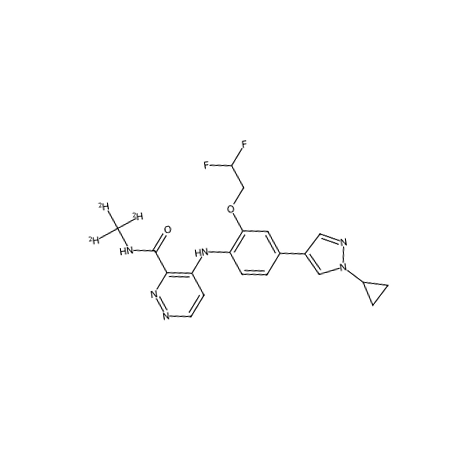 [2H]C([2H])([2H])NC(=O)c1nnccc1Nc1ccc(-c2cnn(C3CC3)c2)cc1OCC(F)F